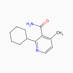 Cc1ccnc(C2CCCCC2)c1C(N)=O